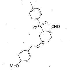 COc1ccc(CO[C@@H]2CC[C@@H](C=O)N(S(=O)(=O)c3ccc(C)cc3)C2)cc1